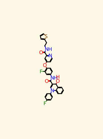 O=C(Nc1ccc(Oc2ccnc(C(=O)NCCc3cccs3)c2)c(F)c1)C1=CN(c2ccc(F)cc2)c2ccccc2C1O